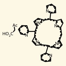 C1=Cc2nc1cc1ccc([nH]1)c(-c1ccccn1)c1nc(c(-c3ccccn3)c3ccc([nH]3)c2-c2ccccn2)C=C1.CC(=O)CC(=O)O